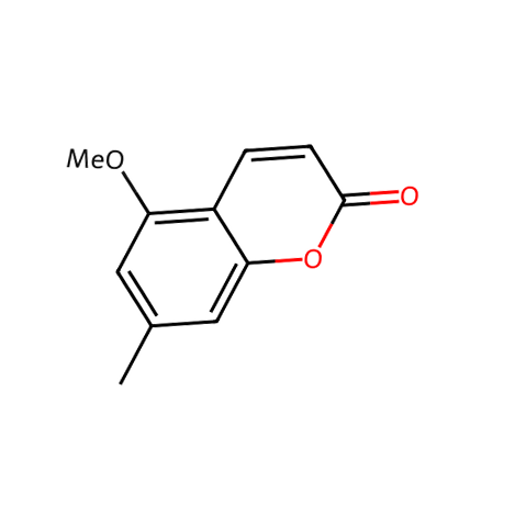 COc1cc(C)cc2oc(=O)ccc12